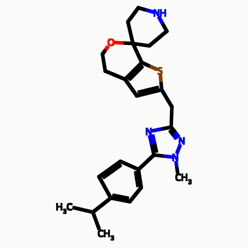 CC(C)c1ccc(-c2nc(Cc3cc4c(s3)C3(CCNCC3)OCC4)nn2C)cc1